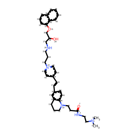 CN(C)CCNC(=O)CCN1CCCc2cc(C=Cc3cc[n+](CCCNCC(O)COc4cccc5ccccc45)cc3)ccc21